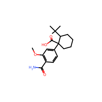 COc1cc(C2(C(=O)O)CCCCC2C(C)(C)C)ccc1C(N)=O